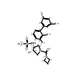 CS(=O)(=O)N[C@H]1[C@@H](F)CN(C(=O)N2CCC2)[C@H]1Cc1cccc(-c2cc(F)cc(F)c2)c1F